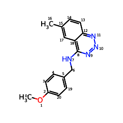 COc1ccc(CNc2nnnc3ccc(C)cc23)cc1